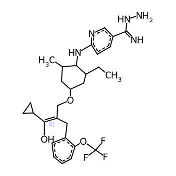 CCC1CC(OC/C(Cc2ccccc2OC(F)(F)F)=C(/O)C2CC2)CC(C)C1Nc1ccc(C(=N)NN)cn1